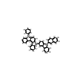 c1ccc(-n2c3ccccc3c3c4c5ccccc5n(-c5ccc6c(c5)c5cnccc5n6-c5ccc6ccccc6c5)c4ccc32)cc1